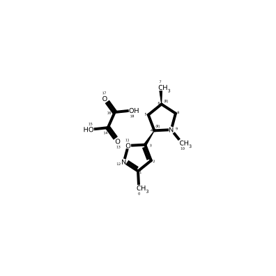 Cc1cc([C@H]2C[C@@H](C)CN2C)on1.O=C(O)C(=O)O